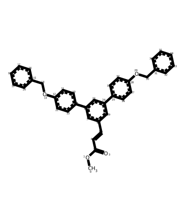 COC(=O)/C=C/c1cc(-c2ccc(OCc3ccccc3)cc2)cc(-c2ccc(OCc3ccccc3)cc2)c1